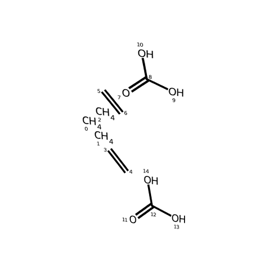 C.C.C.C=C.C=C.O=C(O)O.O=C(O)O